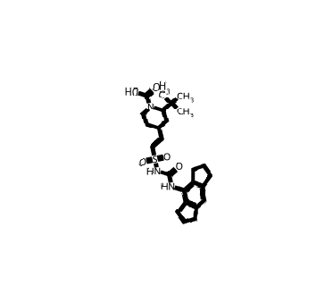 CC(C)(C)C1CC(C=CS(=O)(=O)NC(=O)Nc2c3c(cc4c2CCC4)CCC3)CCN1C(=O)O